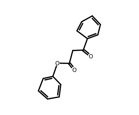 O=C(CC(=O)c1ccccc1)Oc1ccccc1